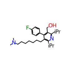 CC(C)c1nc(C(C)C)c(CCCCCCCN(C)C)c(-c2ccc(F)cc2)c1CO